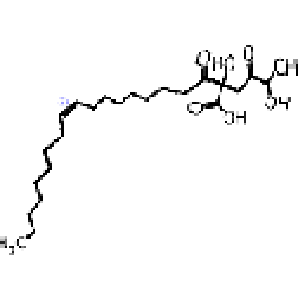 CCCCCCCC/C=C\CCCCCCCC(=O)C(O)(CC(=O)C(C)O)C(=O)O